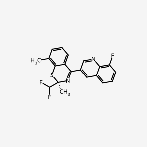 Cc1cccc2c1S[C@](C)(C(F)F)N=C2c1cnc2c(F)cccc2c1